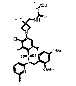 COc1ccc(CN(c2cccc(F)n2)S(=O)(=O)c2c(F)cc(N3CC(C)(CNC(=O)OC(C)(C)C)C3)c(Cl)c2F)c(OC)c1